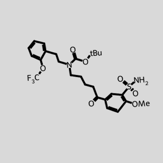 COc1ccc(C(=O)CCCCN(CCc2ccccc2OC(F)(F)F)C(=O)OC(C)(C)C)cc1S(N)(=O)=O